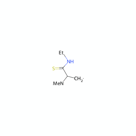 [CH2]C(NC)C(=S)NCC